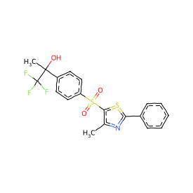 Cc1nc(-c2ccccc2)sc1S(=O)(=O)c1ccc(C(C)(O)C(F)(F)F)cc1